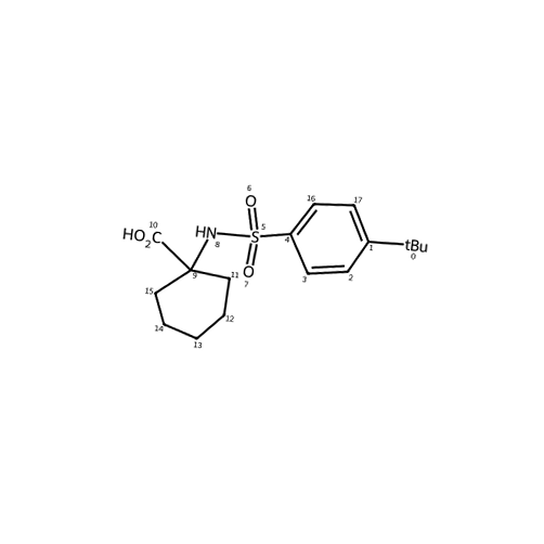 CC(C)(C)c1ccc(S(=O)(=O)NC2(C(=O)O)CCCCC2)cc1